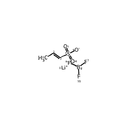 CC=CS(=O)(=O)[O-].FB(F)F.[Li+]